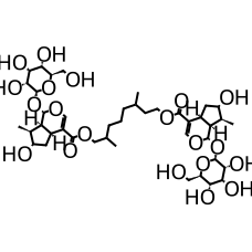 CC(CCCC(C)COC(=O)C1=CO[C@@H](O[C@@H]2O[C@H](CO)[C@@H](O)[C@H](O)[C@H]2O)[C@@H]2[C@H](C)[C@@H](O)C[C@H]12)CCOC(=O)C1=CO[C@@H](O[C@@H]2O[C@H](CO)[C@@H](O)[C@H](O)[C@H]2O)[C@@H]2[C@H](C)[C@@H](O)C[C@H]12